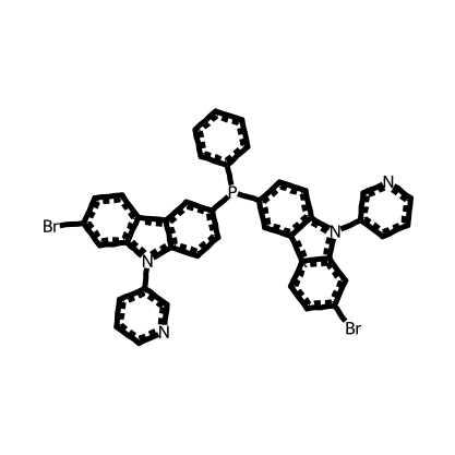 Brc1ccc2c3cc(P(c4ccccc4)c4ccc5c(c4)c4ccc(Br)cc4n5-c4cccnc4)ccc3n(-c3cccnc3)c2c1